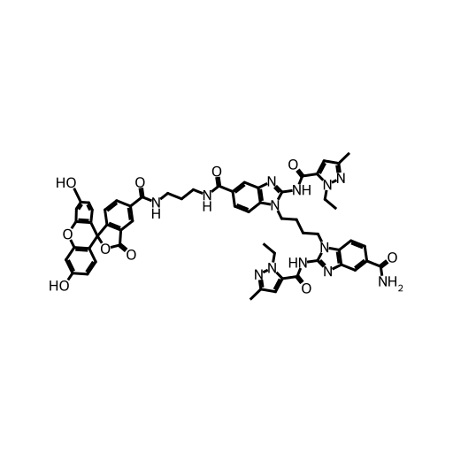 CCn1nc(C)cc1C(=O)Nc1nc2cc(C(N)=O)ccc2n1CCCCn1c(NC(=O)c2cc(C)nn2CC)nc2cc(C(=O)NCCCNC(=O)c3ccc4c(c3)C(=O)OC43c4ccc(O)cc4Oc4cc(O)ccc43)ccc21